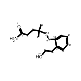 CC(C)(CCC(N)=O)SSc1ccccc1CCO